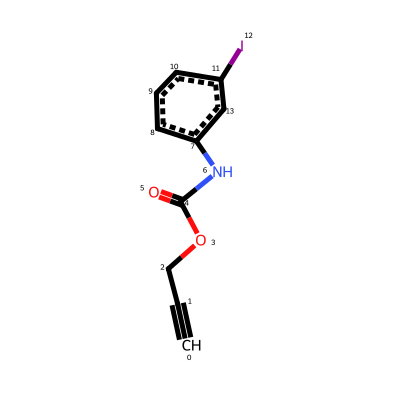 C#CCOC(=O)Nc1cccc(I)c1